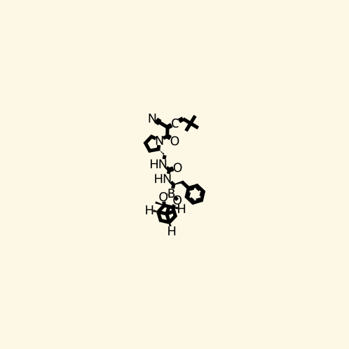 CC(C)(C)C=C=C(C#N)C(=O)N1CCC[C@H]1CNC(=O)N[C@@H](Cc1ccccc1)B1O[C@@H]2C[C@@H]3C[C@@H](C3(C)C)[C@]2(C)O1